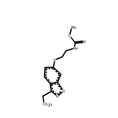 CCOC(=O)Cc1noc2cc(OCCNC(=O)OC(C)(C)C)ccc12